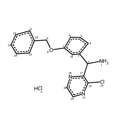 Cl.NC(c1cccc(OCc2ccccc2)c1)c1nccnc1Cl